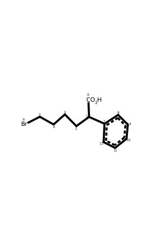 O=C(O)C(CCCCBr)c1ccccc1